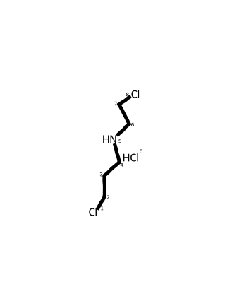 Cl.ClCCCNCCCl